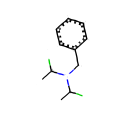 CC(Cl)N(Cc1ccccc1)C(C)Cl